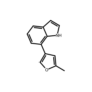 Cc1cc(-c2cccc3cc[nH]c23)[c]o1